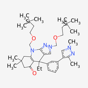 CCC1(c2cccc(-c3cn(C)nc3C)c2)C2=C(CC(C)(C)CC2=O)N(COCC[Si](C)(C)C)c2nn(COCC[Si](C)(C)C)cc21